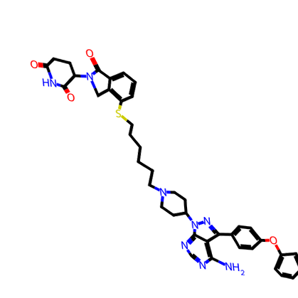 Nc1ncnc2c1c(-c1ccc(Oc3ccccc3)cc1)nn2C1CCN(CCCCCCSc2cccc3c2CN(C2CCC(=O)NC2=O)C3=O)CC1